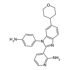 Nc1ccc(-n2c(-c3cccnc3N)nc3ccc(C4CCOCC4)cc32)cc1